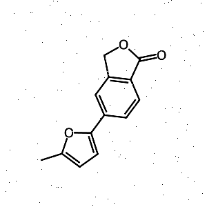 Cc1ccc(-c2ccc3c(c2)COC3=O)o1